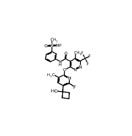 Cc1cc(C2(O)CCC2)c(F)nc1Oc1nnc(C(F)(F)F)c(C)c1C(=O)Nc1cccc(S(C)(=N)=O)c1